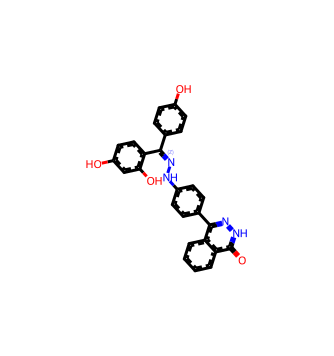 O=c1[nH]nc(-c2ccc(N/N=C(/c3ccc(O)cc3)c3ccc(O)cc3O)cc2)c2ccccc12